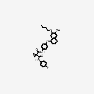 CCCCOc1cc2c(Oc3ccc(NC(=O)C4(C(=O)Nc5ccc(F)cc5)CC4)cc3)ccnc2cc1OC